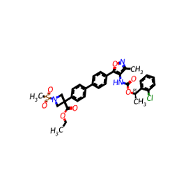 CCOC(=O)C1(c2ccc(-c3ccc(-c4onc(C)c4NC(=O)O[C@H](C)c4ccccc4Cl)cc3)cc2)CN(S(C)(=O)=O)C1